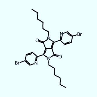 CCCCCCN1C(=O)C2=C(c3ccc(Br)cn3)N(CCCCCC)C(=O)C2=C1c1ccc(Br)cn1